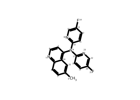 Cc1ccc2nccc(N(c3ccc(F)cn3)c3ccc(F)cn3)c2c1